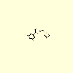 CCOC(=O)c1cnn(Cc2nc(-c3cc(Br)cc(C(F)(F)F)c3)cs2)c1